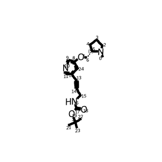 CN1CCC[C@H]1COc1cncc(C#CCNC(=O)OC(C)(C)C)c1